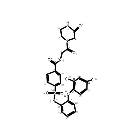 O=C1CN(C(=O)CNC(=O)c2ccc(S(=O)(=O)Nc3ccccc3Oc3ccc(Cl)cc3Cl)cc2)CCN1